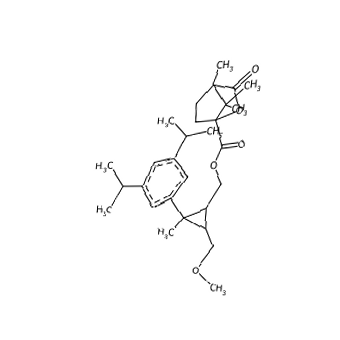 COCC1C(COC(=O)C23CCC(C)(C(=O)O2)C3(C)C)C1(C)c1cc(C(C)C)cc(C(C)C)c1